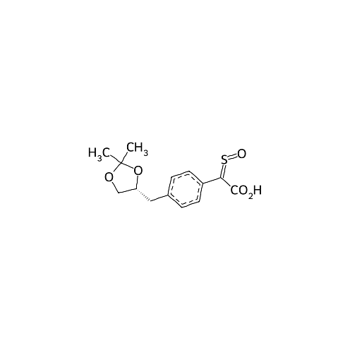 CC1(C)OC[C@@H](Cc2ccc(C(=S=O)C(=O)O)cc2)O1